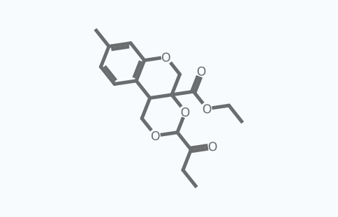 CCOC(=O)C12COc3cc(C)ccc3C1COC(C(=O)CC)O2